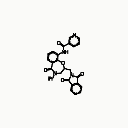 CC(C)N1CC(CN2C(=O)c3ccccc3C2=O)Oc2c(NC(=O)c3cccnc3)cccc2C1=O